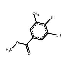 COC(=O)c1cc(C)c(Br)c(O)c1